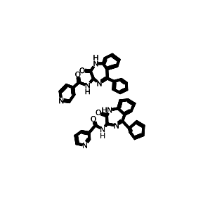 O=C(NC1N=C(c2ccccc2)c2ccccc2NC1=O)c1cccnc1.O=C(NC1N=C(c2ccccc2)c2ccccc2NC1=O)c1ccncc1